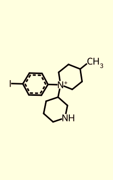 CC1CC[N+](c2ccc(I)cc2)(C2CCCNC2)CC1